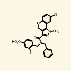 Cn1nc(C(=O)N(Cc2ccccc2)Cc2ccc(C(=O)O)cc2F)c2c1-c1cc(Cl)ccc1OC2